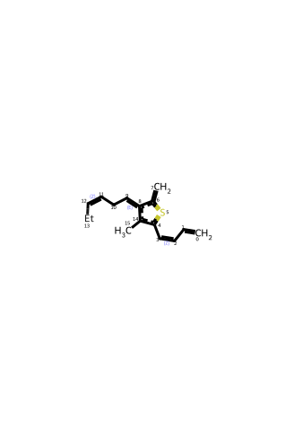 C=C/C=C\c1sc(=C)/c(=C/C/C=C\CC)c1C